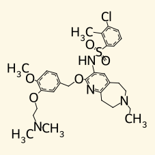 CCN1CCc2cc(NS(=O)(=O)c3cccc(Cl)c3C)c(OCc3ccc(OC)c(OCCN(C)C)c3)nc2CC1